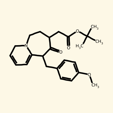 COc1ccc(CC2C(=O)C(CC(=O)OC(C)(C)C)CCN3CC=CC=C23)cc1